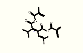 C=C(C)C(=O)OC(=O)/C(C=C(C)C)=C(\C(=O)OC(=O)C(=C)C)C(C)C